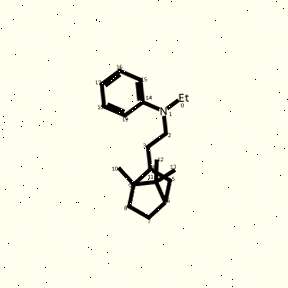 CCN(CCC1CC2CCC1(C)C2(C)C)c1ccccc1